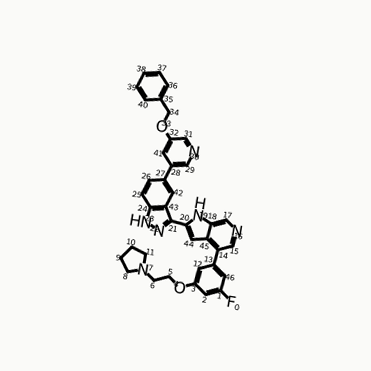 Fc1cc(OCCN2CCCC2)cc(-c2cncc3[nH]c(-c4n[nH]c5ccc(-c6cncc(OCc7ccccc7)c6)cc45)cc23)c1